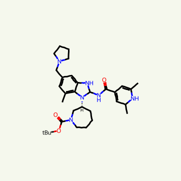 CC1=CC(C(=O)NC2Nc3cc(CN4CCCC4)cc(C)c3N2[C@@H]2CCCCN(C(=O)OC(C)(C)C)C2)=CC(C)N1